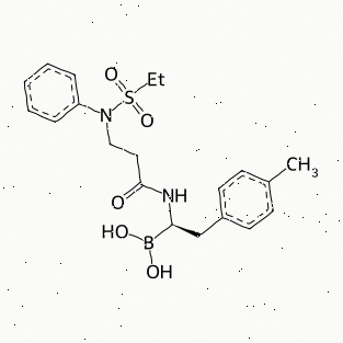 CCS(=O)(=O)N(CCC(=O)N[C@@H](Cc1ccc(C)cc1)B(O)O)c1ccccc1